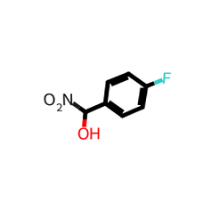 O=[N+]([O-])C(O)c1ccc(F)cc1